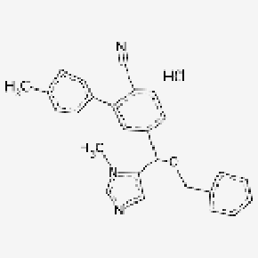 Cc1ccc(-c2cc(C(OCc3ccccc3)c3cncn3C)ccc2C#N)cc1.Cl